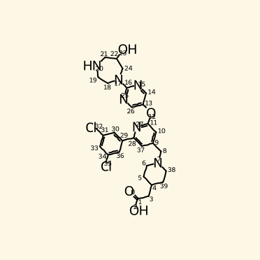 O=C(O)CC1CCN(Cc2cc(Oc3cnc(N4CCNCC(O)C4)nc3)nc(-c3cc(Cl)cc(Cl)c3)c2)CC1